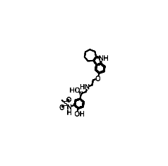 CS(=O)(=O)Nc1cc([C@H](O)CNCCOc2ccc3[nH]c4c(c3c2)CCCCC4)ccc1O